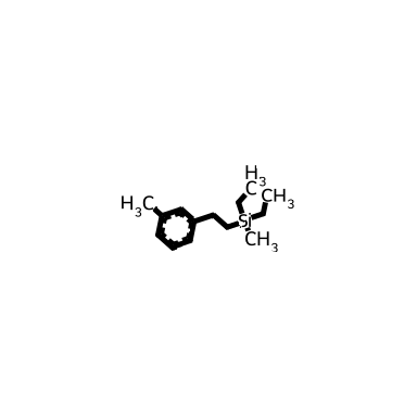 CC[Si](C)(CC)CCc1cccc(C)c1